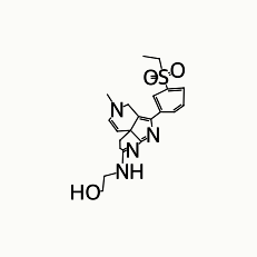 CCS(=O)(=O)c1cccc(C2=C3CN(C)C=CC34CCC(NCCO)=NC4=N2)c1